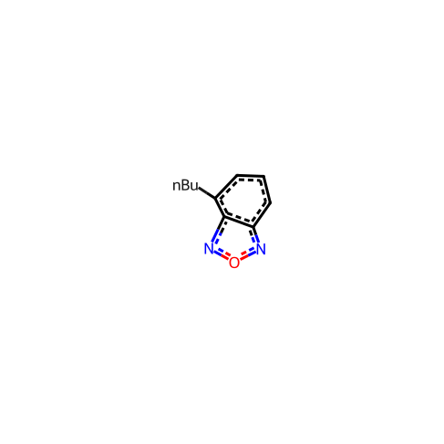 [CH2]CCCc1cccc2nonc12